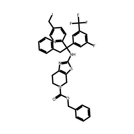 O=C(OCc1ccccc1)N1CCc2nc(NC(Cc3ccccc3)(c3cc(F)cc(C(F)(F)F)c3)c3ccc(CI)cn3)sc2C1